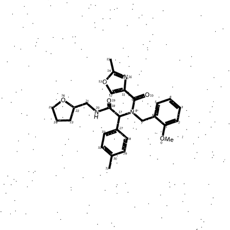 COc1ccccc1CN(C(=O)c1coc(C)n1)C(C(=O)NCC1CCCO1)c1ccc(C)cc1